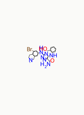 CN1CCc2c(Br)cc(Nc3nnc(C(N)=O)c(Nc4ccccc4CO)n3)cc2C1